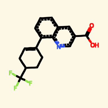 O=C(O)c1cnc2c(C3=CCC(C(F)(F)F)CC3)cccc2c1